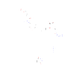 CC(=O)O[C@@H](C)C=CC(=O)N[C@@H]1C[C@H](C)[C@H](CC=C(C)C=C[C@H]2O[C@H](CC(=O)N[C@H]3CC[C@H](NC(=O)CCCCCN4C(=O)C=CC4=O)CC3)C[C@@]3(CO3)[C@@H]2O)O[C@@H]1C